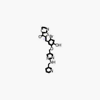 O=C1/C(=C/c2cc(OCc3cnc(NCc4cccnc4)nc3)c(O)cc2Br)Sc2ncccc21